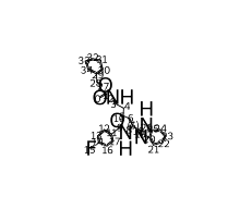 O=C(NCCCC[C@H](NC(=O)c1ccc(F)cc1)c1nc2ccccc2[nH]1)OCc1ccccc1